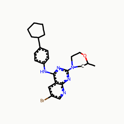 CC1CN(c2nc(Nc3ccc(C4CCCCC4)cc3)c3cc(Br)cnc3n2)CCO1